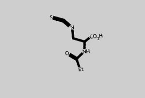 CCC(=O)NC(CN=C=S)C(=O)O